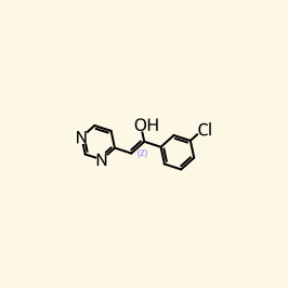 O/C(=C\c1ccncn1)c1cccc(Cl)c1